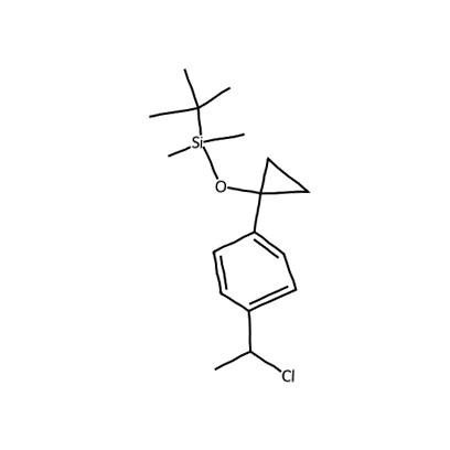 CC(Cl)c1ccc(C2(O[Si](C)(C)C(C)(C)C)CC2)cc1